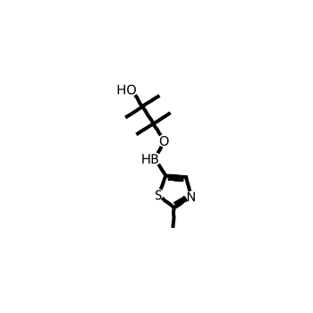 Cc1ncc(BOC(C)(C)C(C)(C)O)s1